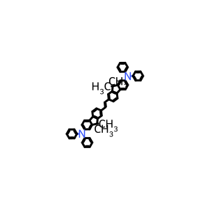 CC1(C)c2cc(/C=C/c3ccc4c(c3)C(C)(C)c3cc(N(c5ccccc5)c5ccccc5)ccc3-4)ccc2-c2ccc(N(c3ccccc3)c3ccccc3)cc21